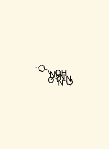 O=C(NCCC1=CC[CH]C=C1)c1cnc(-c2ccccn2)nc1O